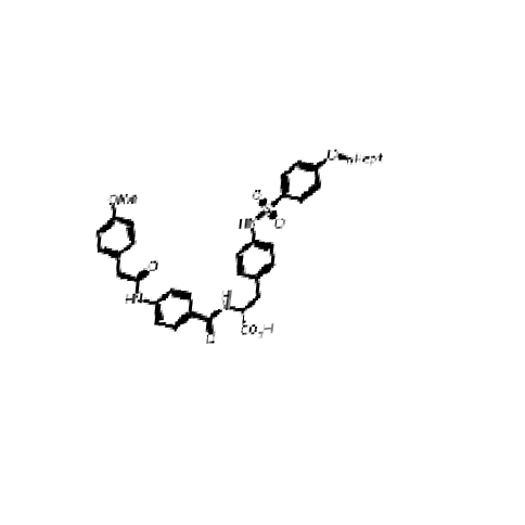 CCCCCCCOc1ccc(S(=O)(=O)Nc2ccc(C[C@H](NC(=O)c3ccc(NC(=O)Cc4ccc(OC)cc4)cc3)C(=O)O)cc2)cc1